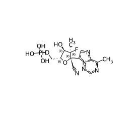 Cc1ncnn2c([C@]3(C#N)O[C@H](CO[PH](O)(O)O)[C@@H](O)[C@@]3(C)F)cnc12